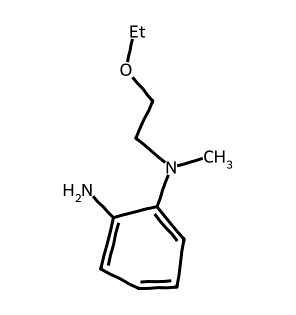 CCOCCN(C)c1ccccc1N